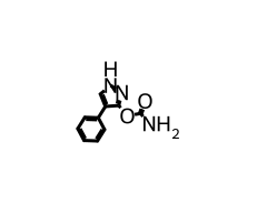 NC(=O)Oc1n[nH]cc1-c1ccccc1